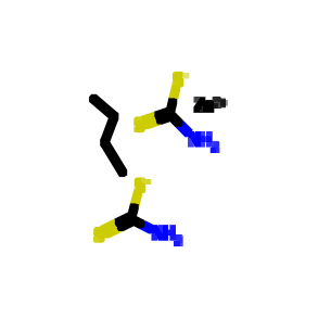 CCCC.NC(=S)[S-].NC(=S)[S-].[Zn+2]